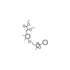 CCOC(=O)C(=Cc1ccc(OCCc2nc(-c3ccccc3)oc2C)c(C)c1C)OCC